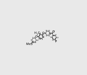 CSN1CCC(Oc2ncnc(OC3CCN(C(=O)c4ccc(F)cc4)CC3)c2C)CC1